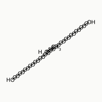 CSCCSCCSC.OCCOCCOCCOCCOCCOCCOCCOCCOCCOCCOCCOCCOCCOCCOCCOCCOCCOCCOCCOCCOCCOCCOCCOCCOCCOCCOCCOCCOCCOCCO